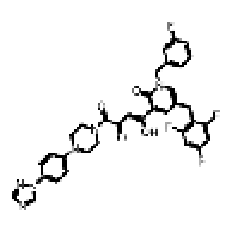 O=C(C=C(O)c1cc(Cc2c(F)cc(F)cc2F)cn(Cc2cccc(F)c2)c1=O)C(=O)N1CCN(c2ccc(-n3cncn3)cc2)CC1